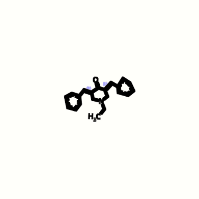 CCN1C/C(=C\c2ccccc2)C(=O)/C(=C/c2ccccc2)C1